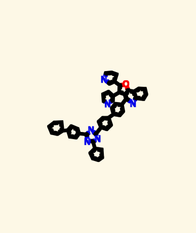 c1ccc(-c2ccc(-c3nc(-c4ccccc4)nc(-c4ccc(-c5ccc(-c6nc7ccccc7c7oc(-c8cccnc8)c(-c8cccnc8)c67)cc5)cc4)n3)cc2)cc1